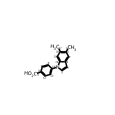 Cc1cc2ccn(-c3ccc(C(=O)O)cc3)c2cc1C